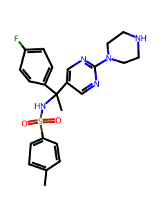 Cc1ccc(S(=O)(=O)NC(C)(c2ccc(F)cc2)c2cnc(N3CCNCC3)nc2)cc1